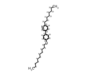 CCCCCCCCCCCOc1ccc(-c2ccc(CCCCCCCC)nn2)cc1